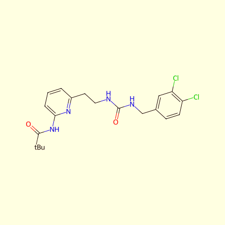 CC(C)(C)C(=O)Nc1cccc(CCNC(=O)NCc2ccc(Cl)c(Cl)c2)n1